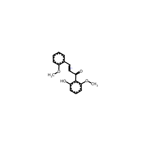 COc1ccccc1/C=C/C(=O)c1c(O)cccc1OC